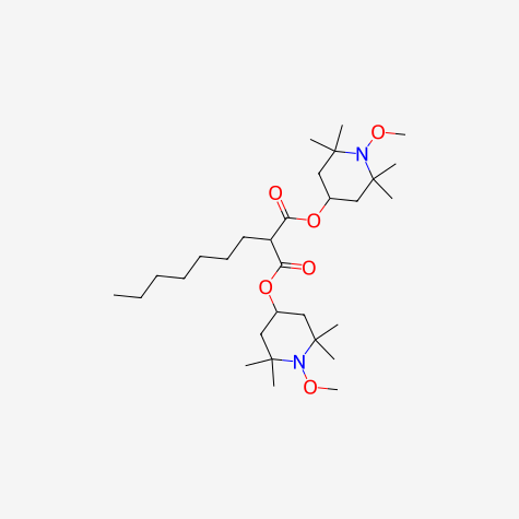 CCCCCCCC(C(=O)OC1CC(C)(C)N(OC)C(C)(C)C1)C(=O)OC1CC(C)(C)N(OC)C(C)(C)C1